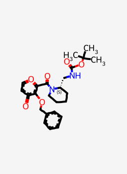 CC(C)(C)OC(=O)NC[C@@H]1CCCCN1C(=O)c1occc(=O)c1OCc1ccccc1